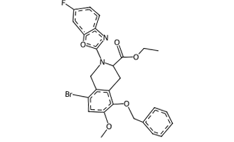 CCOC(=O)C1Cc2c(c(Br)cc(OC)c2OCc2ccccc2)CN1c1nc2ccc(F)cc2o1